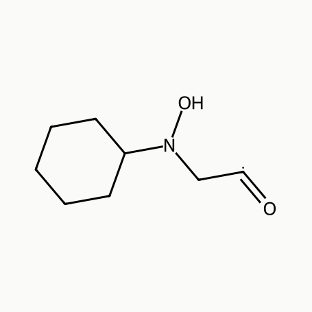 O=[C]CN(O)C1CCCCC1